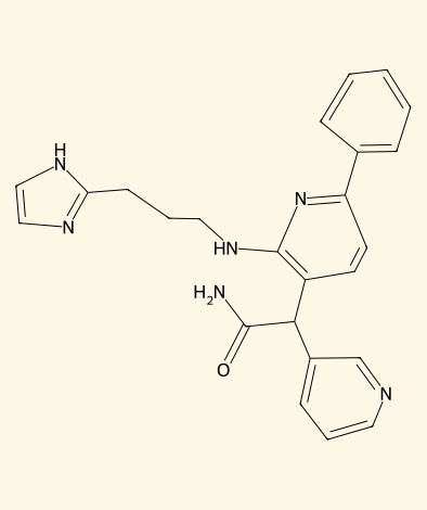 NC(=O)C(c1cccnc1)c1ccc(-c2ccccc2)nc1NCCCc1ncc[nH]1